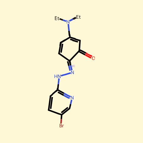 CCN(CC)C1=CC(=O)/C(=N/Nc2ccc(Br)cn2)C=C1